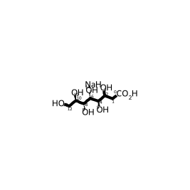 O=C(O)CC(O)[C@@H](O)[C@@H](O)[C@H](O)[C@H](O)CO.[NaH]